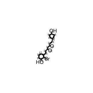 O=C(/C=C/c1ccc(O)cc1)CC(=O)/C=C/c1cccc(O)c1Br